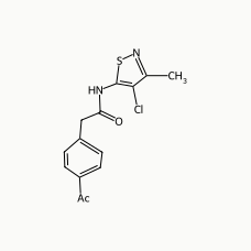 CC(=O)c1ccc(CC(=O)Nc2snc(C)c2Cl)cc1